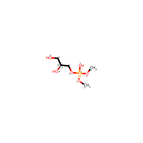 CO[PH](O)(OC)OC[C@@H](O)CO